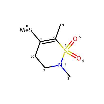 CSC1=C(C)S(=O)(=O)N(C)CC1